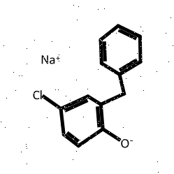 [Na+].[O-]c1ccc(Cl)cc1Cc1ccccc1